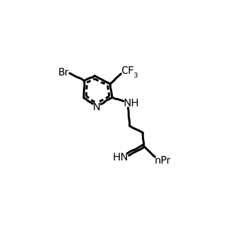 CCCC(=N)CCNc1ncc(Br)cc1C(F)(F)F